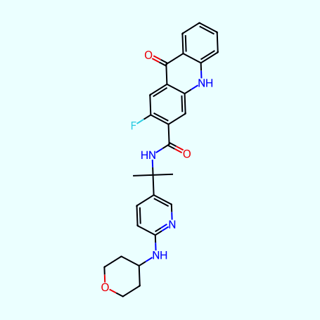 CC(C)(NC(=O)c1cc2[nH]c3ccccc3c(=O)c2cc1F)c1ccc(NC2CCOCC2)nc1